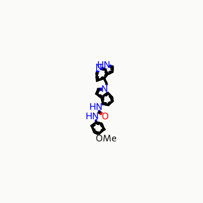 COc1ccc(NC(=O)Nc2cccc3c2ccn3Cc2ccnc3[nH]ccc23)cc1